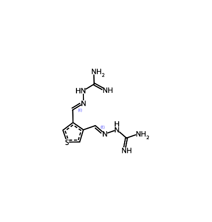 N=C(N)N/N=C/c1cscc1/C=N/NC(=N)N